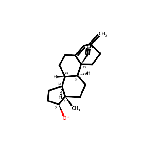 C#C[C@]12CCC(=C)C=C1CC[C@H]1[C@@H]3CC[C@H](O)[C@@]3(C)CC[C@@H]12